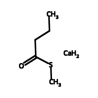 CCCC(=O)SC.[CaH2]